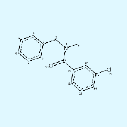 CN(Cc1ccccc1)C(=O)c1cccc(Cl)c1